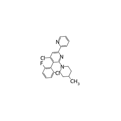 CC1CCN(c2nc(-c3ccccn3)cc(Cl)c2-c2c(F)cccc2Cl)CC1